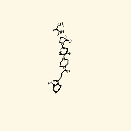 CC(=S)NC[C@H]1CN(c2ccc(N3CCN(C(=O)C=Cc4c[nH]c5ccccc45)CC3)c(F)c2)C(=O)O1